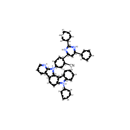 N#Cc1cc(-n2c3ncccc3c3ccc4c(c5ccccc5n4-c4ccccc4)c32)ccc1-c1cc(-c2ccccc2)nc(-c2ccccc2)n1